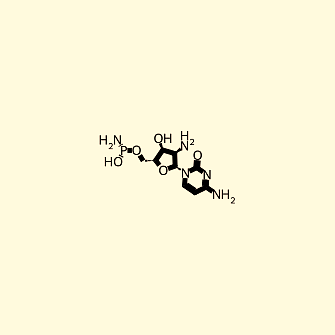 Nc1ccn([C@@H]2O[C@H](COP(N)O)[C@@H](O)[C@H]2N)c(=O)n1